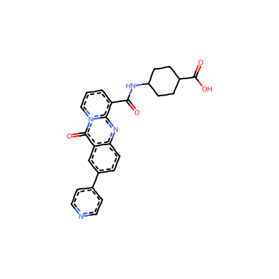 O=C(NC1CCC(C(=O)O)CC1)c1cccn2c(=O)c3cc(-c4ccncc4)ccc3nc12